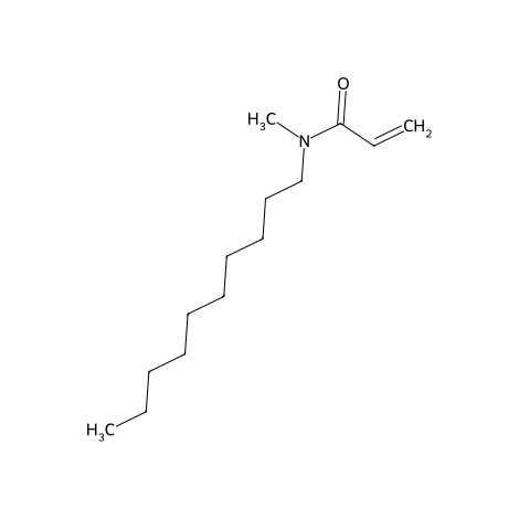 C=CC(=O)N(C)CCCCCCCCCC